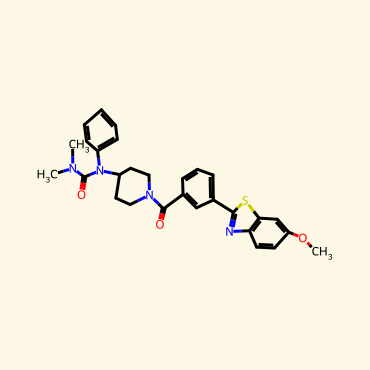 COc1ccc2nc(-c3cccc(C(=O)N4CCC(N(C(=O)N(C)C)c5ccccc5)CC4)c3)sc2c1